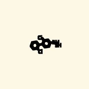 SNc1ccc(-c2ccccc2Cl)c(Cl)c1